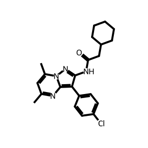 Cc1cc(C)n2nc(NC(=O)CC3CCCCC3)c(-c3ccc(Cl)cc3)c2n1